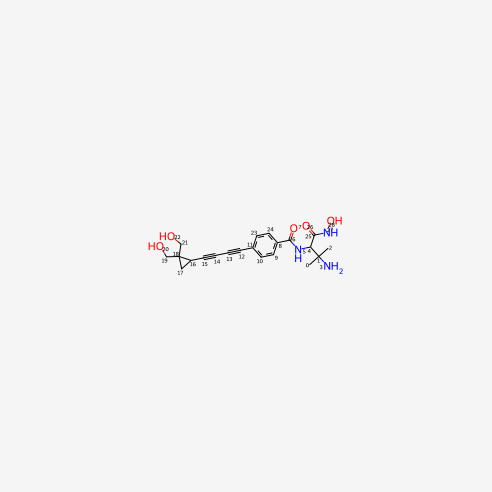 CC(C)(N)C(NC(=O)c1ccc(C#CC#CC2CC2(CO)CO)cc1)C(=O)NO